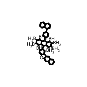 Bc1c(B)c(B)c2c(-c3ccc4oc5cc6ccccc6cc5c4c3)c3c(B)c(B)c(B)c(B)c3c(-c3ccc(-c4cccc5ccccc45)cc3)c2c1B